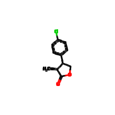 C=C1C(=O)OCC1c1ccc(Cl)cc1